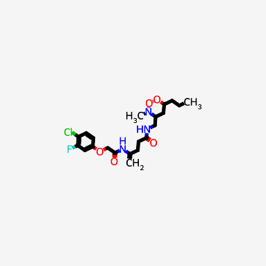 C=C(CCC(=O)NCC1CC(CCC)OON1C)NC(=O)COc1ccc(Cl)c(F)c1